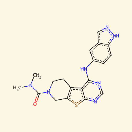 CN(C)C(=O)N1CCc2c(sc3ncnc(Nc4ccc5[nH]ncc5c4)c23)C1